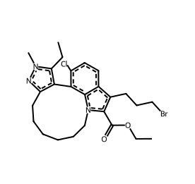 CCOC(=O)c1c(CCCBr)c2ccc(Cl)c3c2n1CCCCCCc1nn(C)c(CC)c1-3